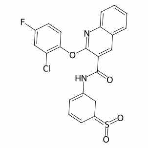 O=C(NC1=CC=CC(=S(=O)=O)C1)c1cc2ccccc2nc1Oc1ccc(F)cc1Cl